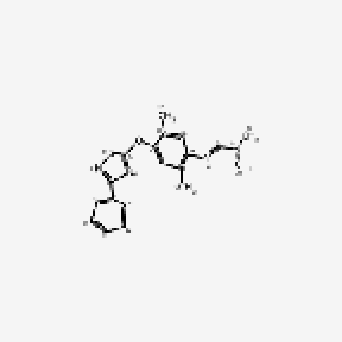 Cc1cc(Oc2nc(-c3ccccc3)ns2)c(C)cc1N=CN(C)C